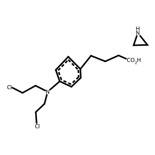 C1CN1.O=C(O)CCCc1ccc(N(CCCl)CCCl)cc1